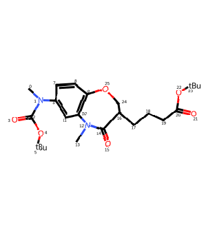 CN(C(=O)OC(C)(C)C)c1ccc2c(c1)N(C)C(=O)C(CCCC(=O)OC(C)(C)C)CO2